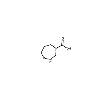 O=C(O)C1CCCONC1